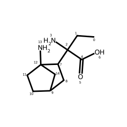 CCC(N)(C(=O)O)C1CC2CCC1(N)C2